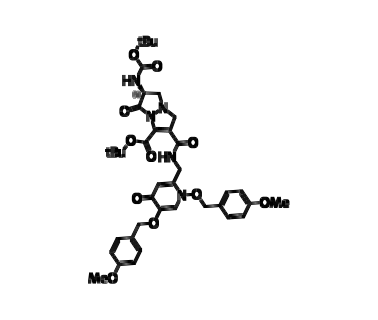 COc1ccc(COc2cn(OCc3ccc(OC)cc3)c(CNC(=O)C3=C(C(=O)OC(C)(C)C)N4C(=O)[C@@H](NC(=O)OC(C)(C)C)CN4C3)cc2=O)cc1